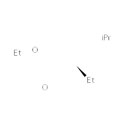 CCOC(=O)[C@H](CC)CC(C)C